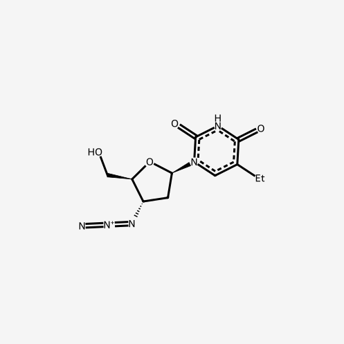 CCc1cn([C@H]2C[C@H](N=[N+]=[N-])[C@@H](CO)O2)c(=O)[nH]c1=O